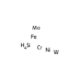 [Cr].[Fe].[Mo].[Ni].[SiH4].[W]